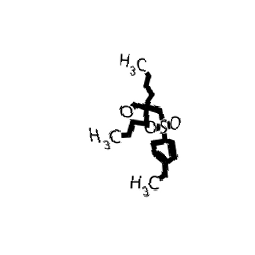 CCCCC(C=O)(CCCC)CS(=O)(=O)c1ccc(CC)cc1